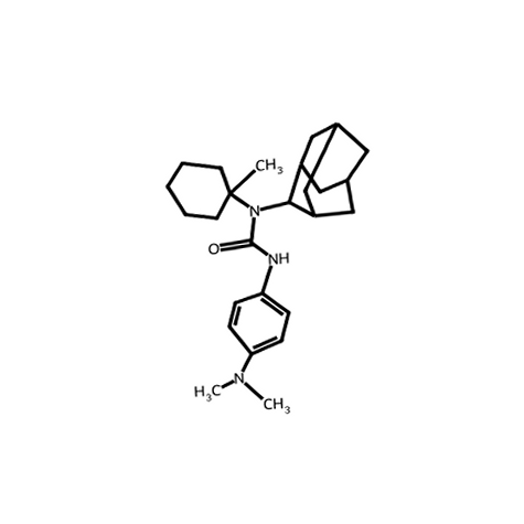 CN(C)c1ccc(NC(=O)N(C2C3CC4CC(C3)CC2C4)C2(C)CCCCC2)cc1